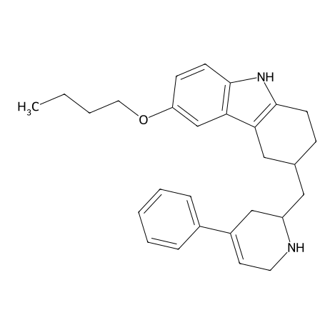 CCCCOc1ccc2[nH]c3c(c2c1)CC(CC1CC(c2ccccc2)=CCN1)CC3